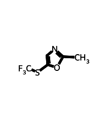 Cc1ncc(SC(F)(F)F)o1